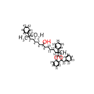 CC(CCCCCC(O)CCCCCC(C)(C(=O)OC(Cc1ccccc1)c1ccccc1)c1ccccc1)(C(=O)O)c1ccccc1